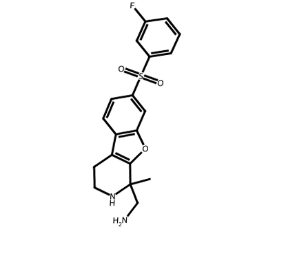 CC1(CN)NCCc2c1oc1cc(S(=O)(=O)c3cccc(F)c3)ccc21